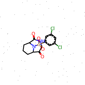 O=C1CNC(=O)C2CCCC1N2S(=O)(=O)c1cc(Cl)cc(Cl)c1